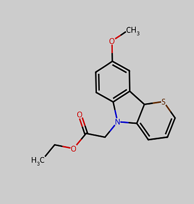 CCOC(=O)CN1C2=CC=CSC2c2cc(OC)ccc21